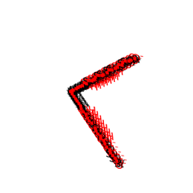 O=[Si](O)O.O=[Si](O)O.O=[Si](O)O.O=[Si](O)O.O=[Si](O)O.O=[Si](O)O.O=[Si](O)O.O=[Si](O)O.O=[Si](O)O.O=[Si](O)O.O=[Si](O)O.O=[Si](O)O.O=[Si](O)O.O=[Si](O)O.O=[Si]([O-])O.O=[Si]([O-])[O-].O=[Si]([O-])[O-].O=[Si]([O-])[O-].O=[Si]([O-])[O-].O=[Si]([O-])[O-].O=[Si]([O-])[O-].O=[Si]([O-])[O-].O=[Si]([O-])[O-].O=[Si]([O-])[O-].O=[Si]([O-])[O-].O=[Si]([O-])[O-].O=[Si]([O-])[O-].O=[Si]([O-])[O-].[Li+].[Li+].[Li+].[Li+].[Li+].[Li+].[Li+].[Li+].[Li+].[Li+].[Li+].[Li+].[Li+].[Li+].[Li+].[Li+].[Li+].[Li+].[Li+].[Li+].[Li+].[Li+].[Li+].[Li+].[Li+].[Li+].[Li+]